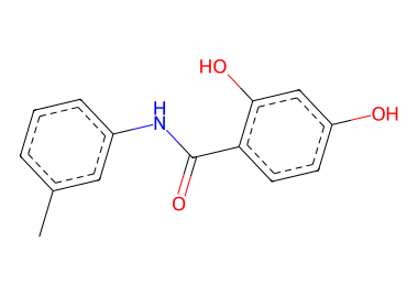 Cc1cccc(NC(=O)c2ccc(O)cc2O)c1